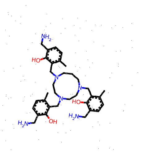 Cc1ccc(CN)c(O)c1CN1CCCN(Cc2c(C)ccc(CN)c2O)CCN(Cc2c(C)ccc(CN)c2O)CC1